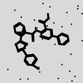 COC(=O)c1cc(-c2ccccc2)ccc1NC(=O)c1c(-c2nc(-c3ccc(Cl)cc3)no2)c2ccc1o2